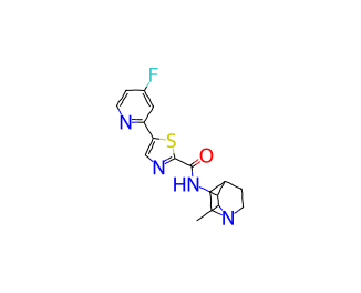 CC1C(NC(=O)c2ncc(-c3cc(F)ccn3)s2)C2CCN1CC2